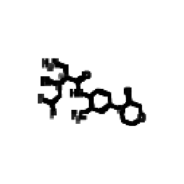 CCN(CC(F)F)[C@@H](CN)C(=O)Nc1ccc(N2CCOCC2=O)cc1C(F)(F)F